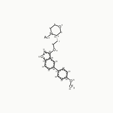 CC(=O)N1CCOC[C@@H]1CCOc1noc2ccc(-c3ccc(OC(F)(F)F)cc3)cc12